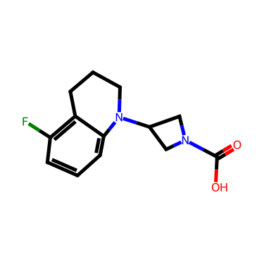 O=C(O)N1CC(N2CCCc3c(F)cccc32)C1